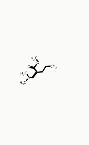 CCC/C(=C/N(C)C)C(=O)OC